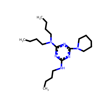 CCCCNc1nc(N(CCCC)CCCC)nc(N2CCCCC2)n1